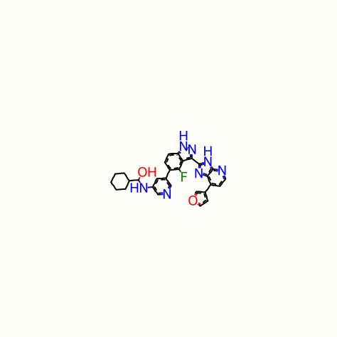 OC(Nc1cncc(-c2ccc3[nH]nc(-c4nc5c(-c6ccoc6)ccnc5[nH]4)c3c2F)c1)C1CCCCC1